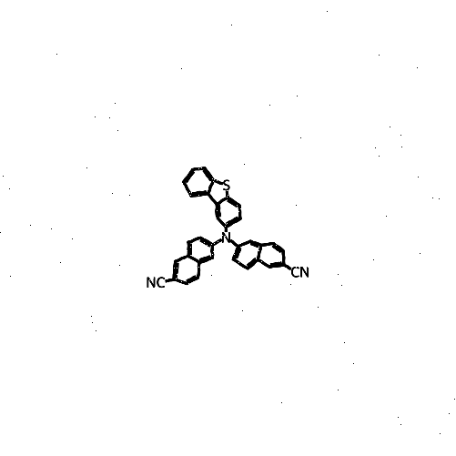 N#Cc1ccc2cc(N(c3ccc4cc(C#N)ccc4c3)c3ccc4sc5ccccc5c4c3)ccc2c1